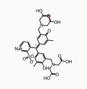 CC1=C/C(=C(\c2cc(C)c(O)c(CN(CC(=O)O)CC(=O)O)c2)c2ccccc2S(=O)(=O)[O-])C=C(CN(CC(=O)O)CC(=O)O)C1=O.[Na+]